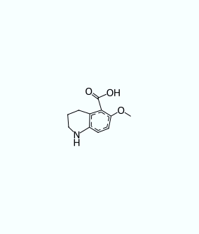 COc1ccc2c(c1C(=O)O)CCCN2